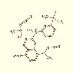 COc1ncc(C(C)N=[N+]=[N-])c2cc(Nc3ccnc(C(C)(C)F)n3)ncc12.C[Si](C)(C)N=[N+]=[N-]